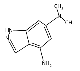 CN(C)c1cc(N)c2cn[nH]c2c1